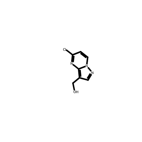 OCc1cnn2ccc(Cl)nc12